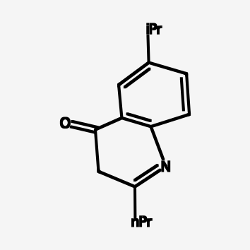 CCCC1=Nc2ccc(C(C)C)cc2C(=O)C1